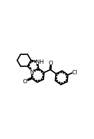 O=C(c1cccc(Cl)c1)c1ccc(=O)n2c3c([nH]c12)CCCC3